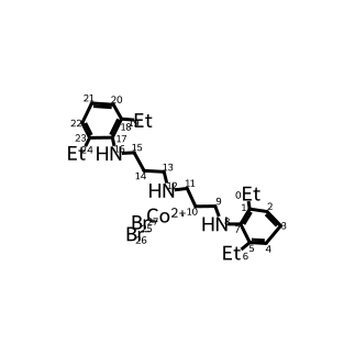 CCc1cccc(CC)c1NCCCNCCCNc1c(CC)cccc1CC.[Br-].[Br-].[Co+2]